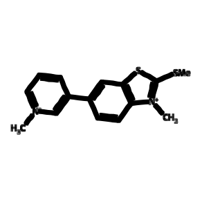 CSc1sc2cc(-c3ccc[n+](C)c3)ccc2[n+]1C